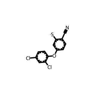 N#Cc1ccc(Oc2ccc(Cl)cc2Cl)cc1[S]